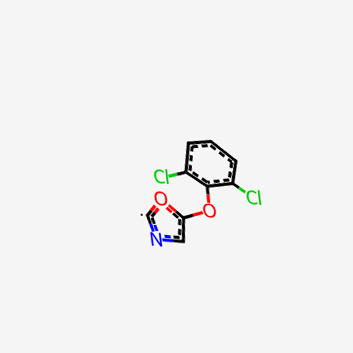 Clc1cccc(Cl)c1Oc1cn[c]o1